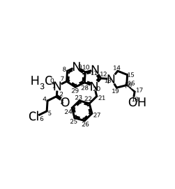 CN(C(=O)CCCl)c1cnc2nc(N3CC[C@@H](CO)C3)n(Cc3ccccc3)c2c1